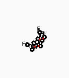 C[Si](C)(C)c1ccccc1N(c1ccc(F)cc1)c1ccc2c(c1)C1(c3ccccc3-c3ccccc31)c1cccc3c(N(c4ccc(F)cc4)c4ccccc4[Si](C)(C)C)ccc-2c13